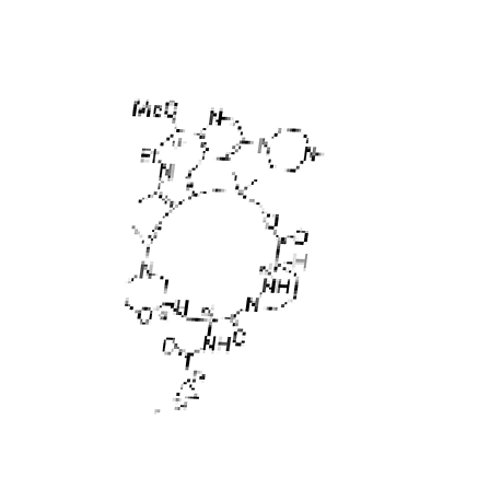 CCn1c(-c2cc(N3CCN(C)CC3)cnc2[C@H](C)OC)c2c3cc(ccc31)N1CCO[C@@H](C[C@H](NC(=O)[C@H]3C[C@@H]3C)C(=O)N3CCC[C@H](N3)C(=O)OCC(C)(C)C2)C1